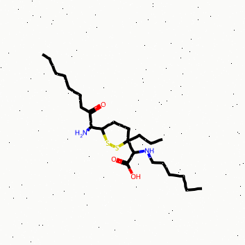 CCCCCCCC(=O)C(N)C1CCC(CCC)(C(NCCCCCC)C(=O)O)SS1